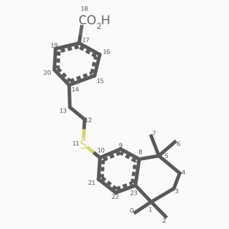 CC1(C)CCC(C)(C)c2cc(SCCc3ccc(C(=O)O)cc3)ccc21